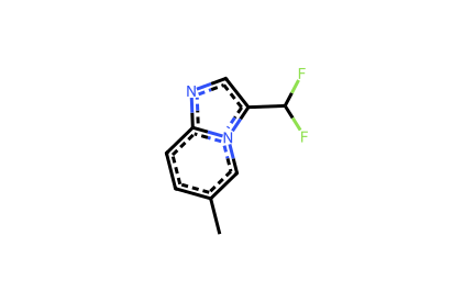 Cc1ccc2ncc(C(F)F)n2c1